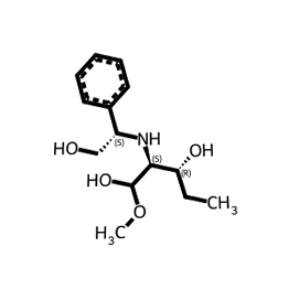 CC[C@@H](O)[C@H](N[C@H](CO)c1ccccc1)C(O)OC